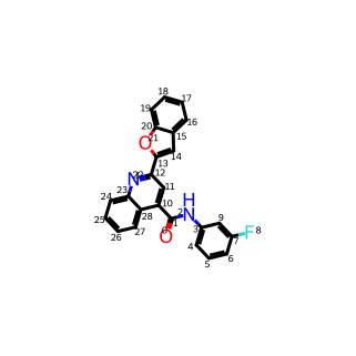 O=C(Nc1cccc(F)c1)c1cc(-c2cc3ccccc3o2)nc2ccccc12